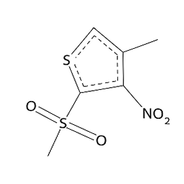 Cc1csc(S(C)(=O)=O)c1[N+](=O)[O-]